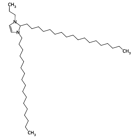 CCCCCCCCCCCCCCCCCCC1N(CCC)C=CN1CCCCCCCCCCCCCCCCC